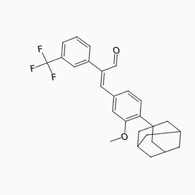 COc1cc(C=C(C=O)c2cccc(C(F)(F)F)c2)ccc1C12CC3CC(CC(C3)C1)C2